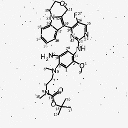 COc1cc(N(C)CCN(C)C(=O)OC(C)(C)C)c(N)cc1Nc1ncc(F)c(-c2c3n(c4ccccc24)CCOC3)n1